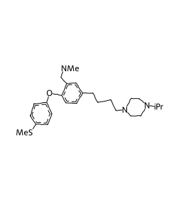 CNCc1cc(CCCCN2CCN(C(C)C)CC2)ccc1Oc1ccc(SC)cc1